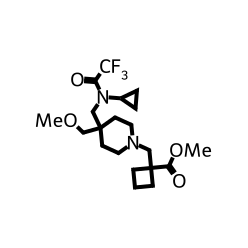 COCC1(CN(C(=O)C(F)(F)F)C2CC2)CCN(CC2(C(=O)OC)CCC2)CC1